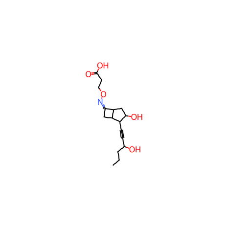 CCCC(O)C#CC1C(O)CC2C(=NOCCC(=O)O)CC21